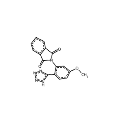 COc1ccc(-c2nnn[nH]2)c(N2C(=O)c3ccccc3C2=O)c1